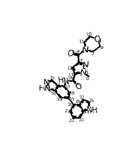 Cn1nc(C(=O)N2CCOCC2)cc1C(=O)Nc1cc(-c2cccc3[nH]ccc23)cc2[nH]ncc12